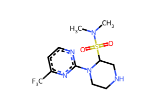 CN(C)S(=O)(=O)C1CNCCN1c1nccc(C(F)(F)F)n1